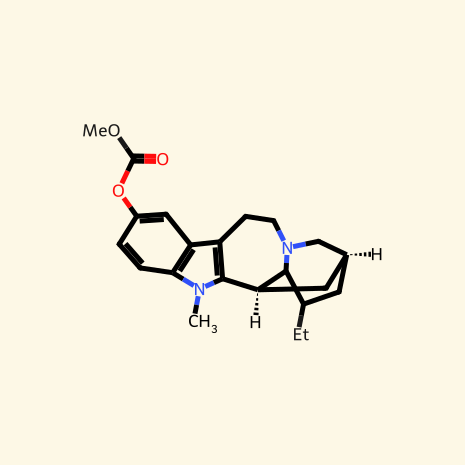 CCC1C[C@H]2C[C@H]3c4c(c5cc(OC(=O)OC)ccc5n4C)CCN(C2)C13